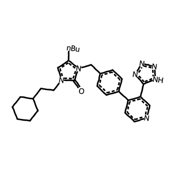 CCCCc1cn(CCC2CCCCC2)c(=O)n1Cc1ccc(-c2ccncc2-c2nnn[nH]2)cc1